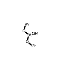 CC(C)OBOC(C)C.Cl